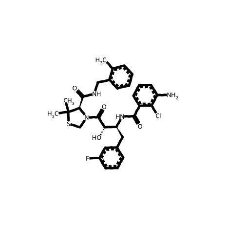 Cc1ccccc1CNC(=O)[C@H]1N(C(=O)[C@@H](O)[C@H](Cc2cccc(F)c2)NC(=O)c2cccc(N)c2Cl)CSC1(C)C